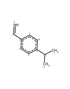 CC(C)c1ccc(C=N)cc1